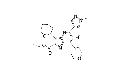 CCOC(=O)c1nc2c(N3CCOCC3)c(F)c(-c3cnn(C)c3)nc2n1C1CCCCO1